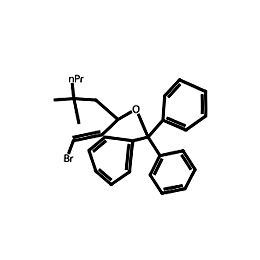 CCCC(C)(C)CC(/C=C/Br)OC(c1ccccc1)(c1ccccc1)c1ccccc1